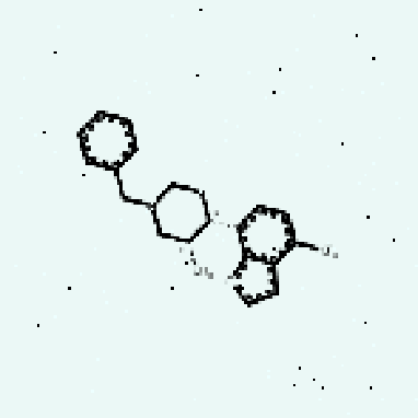 C[C@@H]1CN(Cc2ccccc2)CC[C@@H]1c1ccc(C(F)(F)F)c2ccoc12